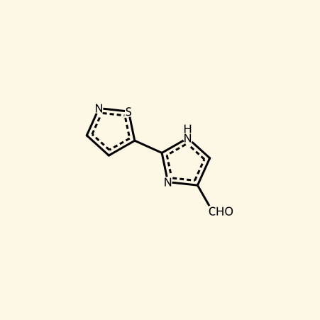 O=Cc1c[nH]c(-c2ccns2)n1